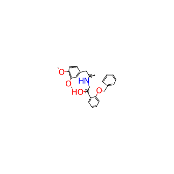 COc1ccc(C[C@@H](C)NC[C@H](O)c2ccccc2OCc2ccccc2)cc1OC